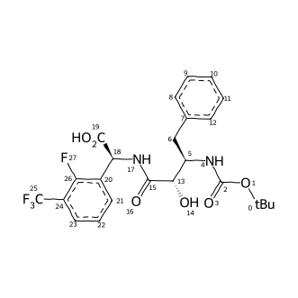 CC(C)(C)OC(=O)N[C@H](Cc1ccccc1)[C@H](O)C(=O)N[C@H](C(=O)O)c1cccc(C(F)(F)F)c1F